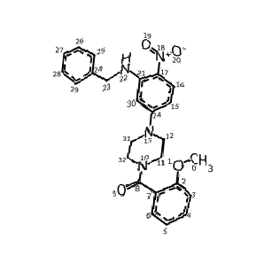 COc1ccccc1C(=O)N1CCN(c2ccc([N+](=O)[O-])c(NCc3ccccc3)c2)CC1